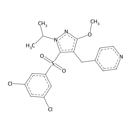 COc1nn(C(C)C)c(S(=O)(=O)c2cc(Cl)cc(Cl)c2)c1Cc1ccncc1